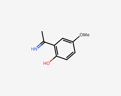 COc1ccc(O)c(C(C)=N)c1